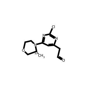 C[C@@H]1COCCN1c1cc(CC=O)nc(Cl)n1